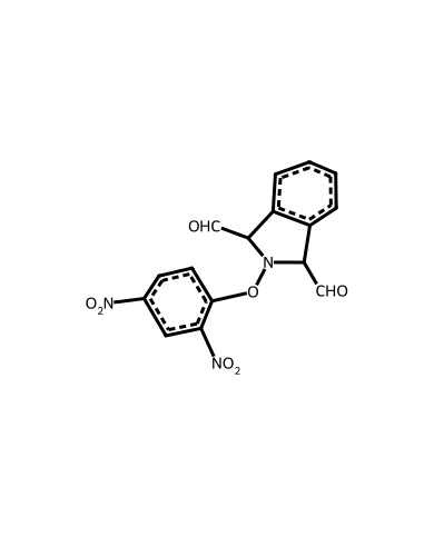 O=CC1c2ccccc2C(C=O)N1Oc1ccc([N+](=O)[O-])cc1[N+](=O)[O-]